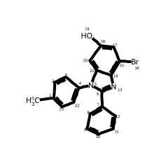 Cc1ccc(-n2c(-c3ccccc3)nc3c(Br)cc(O)cc32)cc1